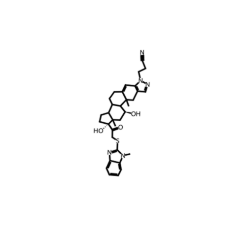 Cn1c(SCC(=O)[C@@]2(O)CCC3C4CCC5=Cc6c(cnn6CCC#N)CC5(C)C4[C@@H](O)CC32C)nc2ccccc21